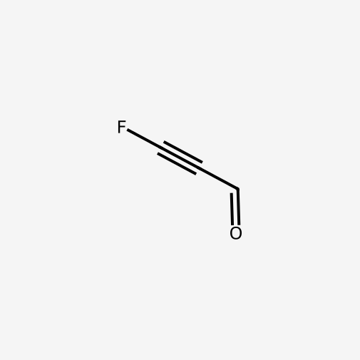 O=CC#CF